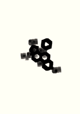 C[C@]12CC[C@@H]3c4ccc(O)cc4C[C@@H](c4ccccc4)[C@H]3[C@@H]1C[C@@H](O)C2